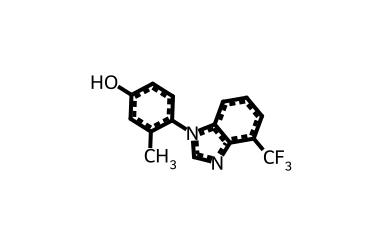 Cc1cc(O)ccc1-n1cnc2c(C(F)(F)F)cccc21